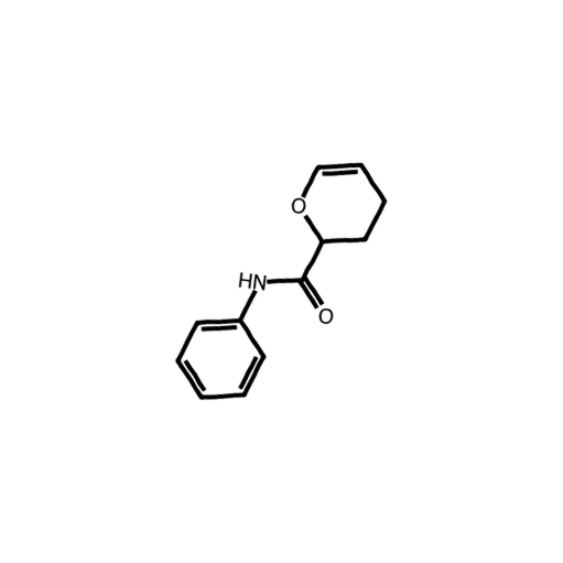 O=C(Nc1ccccc1)C1CCC=CO1